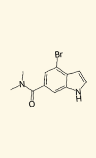 CN(C)C(=O)c1cc(Br)c2cc[nH]c2c1